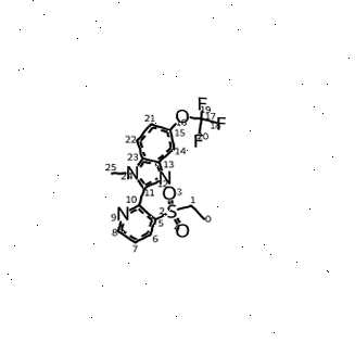 CCS(=O)(=O)c1cccnc1-c1nc2cc(OC(F)(F)F)ccc2n1C